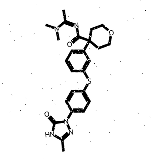 CC(=NC(=O)C1(c2cccc(Sc3ccc(-n4nc(C)[nH]c4=O)cc3)c2)CCOCC1)N(C)C